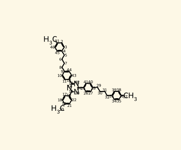 Cc1ccc(CCCCc2ccc(-c3nc(-c4ccc(C)cc4)nc(-c4ccc(CCCCc5ccc(C)cc5)cc4)n3)cc2)cc1